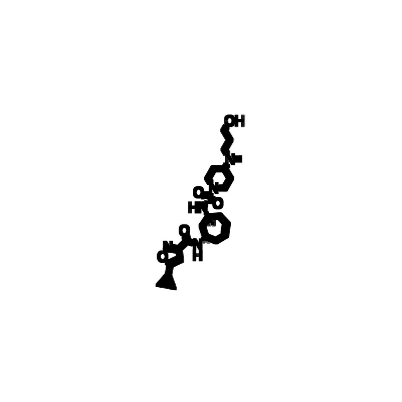 CN(CCCO)C1CCN(S(=O)(=O)N[C@H]2CC=CC[C@H](NC(=O)c3cc(C4CC4)on3)C2)CC1